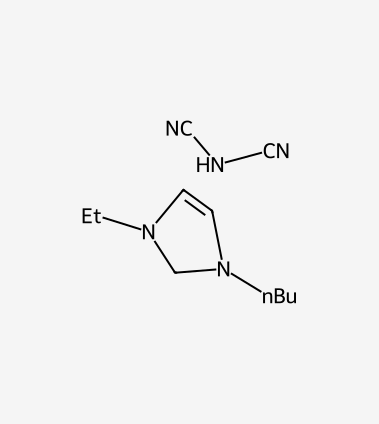 CCCCN1C=CN(CC)C1.N#CNC#N